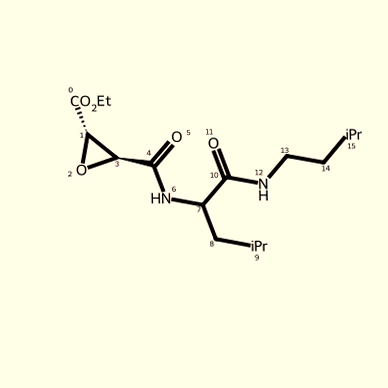 CCOC(=O)[C@H]1O[C@@H]1C(=O)NC(CC(C)C)C(=O)NCCC(C)C